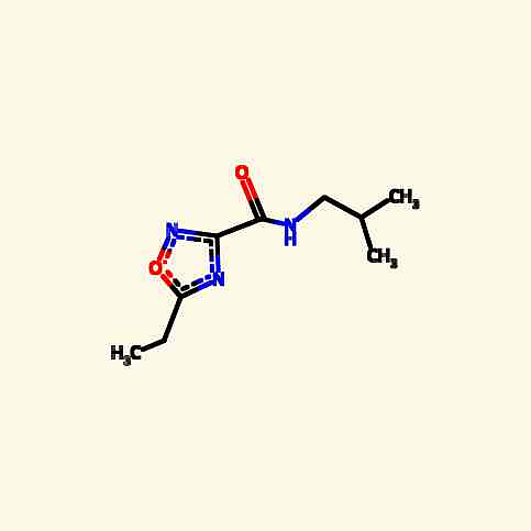 CCc1nc(C(=O)NCC(C)C)no1